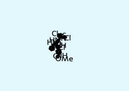 COC(=O)Nc1ccc(-c2nc(C(Cc3ccccc3)NC(=O)NCc3cc(Cl)cc4sc(Cl)nc34)[nH]c2Cl)cc1